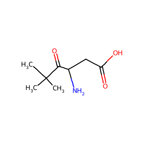 CC(C)(C)C(=O)C(N)CC(=O)O